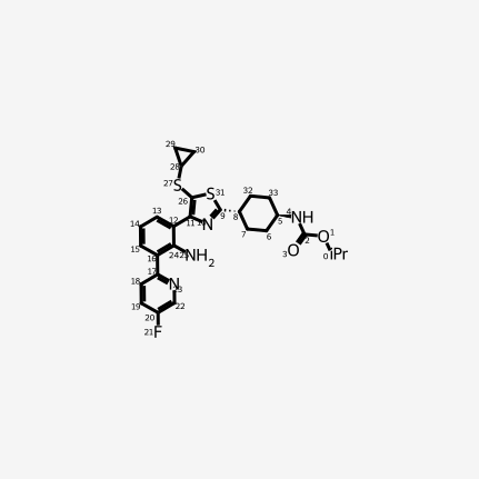 CC(C)OC(=O)N[C@H]1CC[C@H](c2nc(-c3cccc(-c4ccc(F)cn4)c3N)c(SC3CC3)s2)CC1